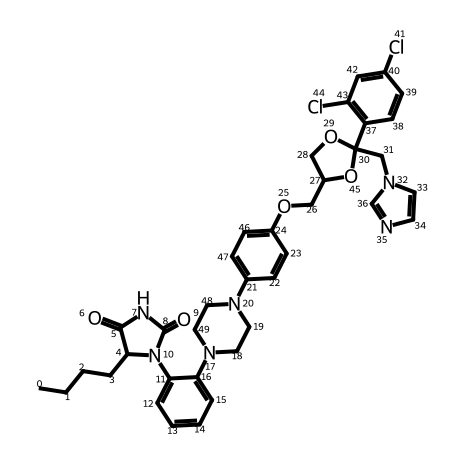 CCCCC1C(=O)NC(=O)N1c1ccccc1N1CCN(c2ccc(OCC3COC(Cn4ccnc4)(c4ccc(Cl)cc4Cl)O3)cc2)CC1